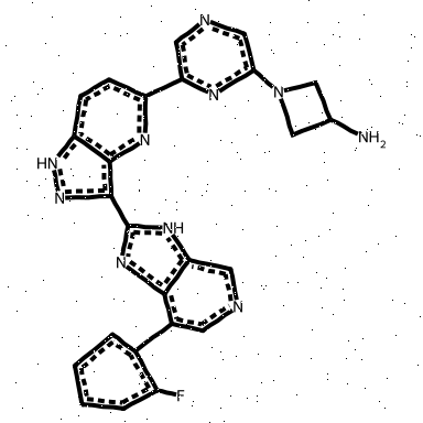 NC1CN(c2cncc(-c3ccc4[nH]nc(-c5nc6c(-c7ccccc7F)cncc6[nH]5)c4n3)n2)C1